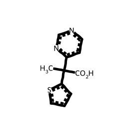 CC(C(=O)O)(c1ccncn1)c1cccs1